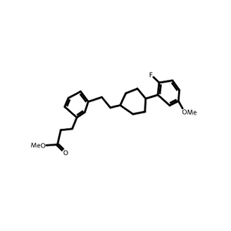 COC(=O)CCc1cccc(CCC2CCC(c3cc(OC)ccc3F)CC2)c1